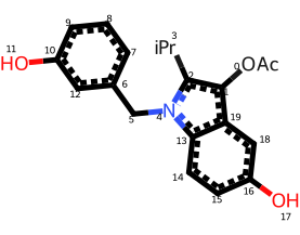 CC(=O)Oc1c(C(C)C)n(Cc2cccc(O)c2)c2ccc(O)cc12